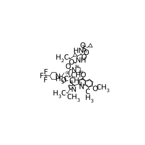 C=CC1CC1(NC(=O)[C@@H]1C[C@@H](Oc2cc(-c3nc(C(C)C)cs3)nc3c(C)c(OC)ccc23)CN1C(=O)[C@@H](CC(=O)N1CCC(C(F)(F)F)CC1)C(C)(C)C)C(=O)NS(=O)(=O)C1CC1